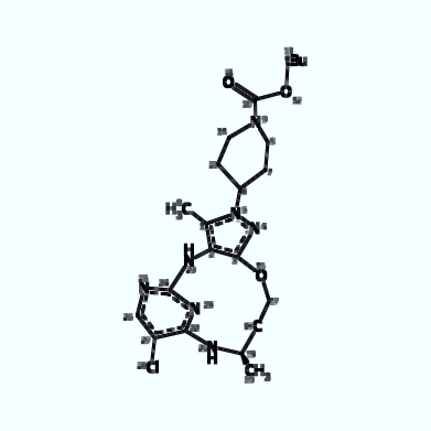 Cc1c2c(nn1C1CCN(C(=O)OC(C)(C)C)CC1)OCC[C@@H](C)Nc1nc(ncc1Cl)N2